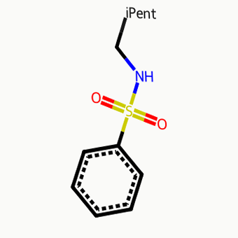 CCCC(C)CNS(=O)(=O)c1ccccc1